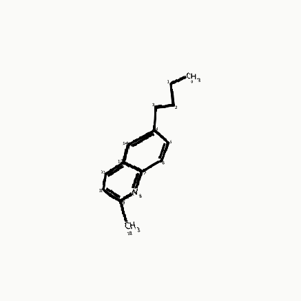 CCCCc1ccc2nc(C)ccc2c1